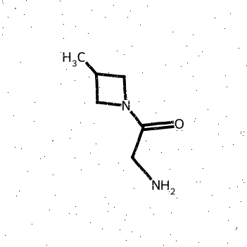 CC1CN(C(=O)CN)C1